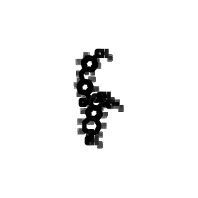 Cc1ccc(Cc2ccc(S(=O)(=O)c3cc4c(cc3N(C)C)CCN(C)CC4)cc2)cc1